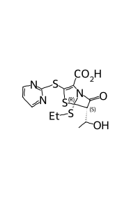 CCS[C@]12SC(Sc3ncccn3)=C(C(=O)O)N1C(=O)[C@@H]2C(C)O